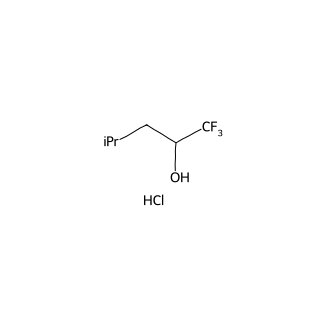 CC(C)CC(O)C(F)(F)F.Cl